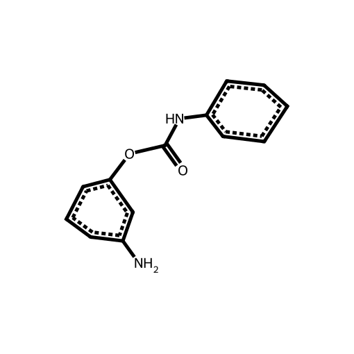 Nc1cccc(OC(=O)Nc2ccccc2)c1